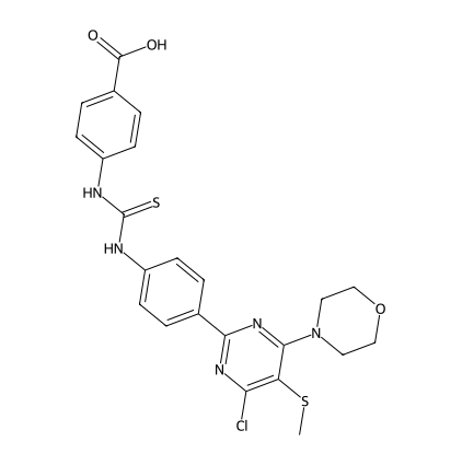 CSc1c(Cl)nc(-c2ccc(NC(=S)Nc3ccc(C(=O)O)cc3)cc2)nc1N1CCOCC1